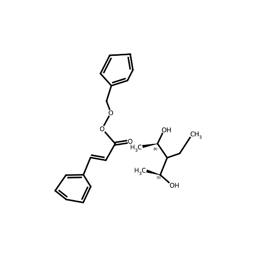 CCC([C@H](C)O)[C@@H](C)O.O=C(C=Cc1ccccc1)OOCc1ccccc1